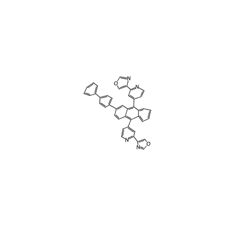 c1ccc(-c2ccc(-c3ccc4c(-c5ccnc(-c6cocn6)c5)c5ccccc5c(-c5ccnc(-c6cocn6)c5)c4c3)cc2)cc1